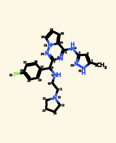 Cc1cc(Nc2nc(C(NCCN3CCCC3)c3ccc(F)cc3)nn3cccc23)n[nH]1